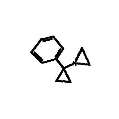 c1ccc(C2(N3CC3)CC2)cc1